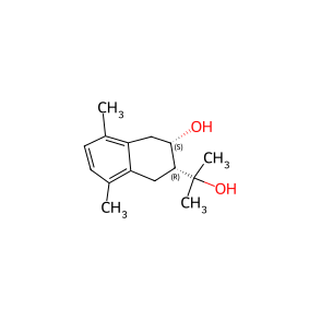 Cc1ccc(C)c2c1C[C@@H](C(C)(C)O)[C@@H](O)C2